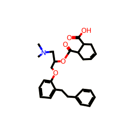 CN(C)CC(COc1ccccc1CCc1ccccc1)OC(=O)C1CC=CCC1C(=O)O